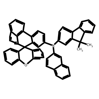 CC1(C)c2ccccc2-c2ccc(N(c3ccc4c(c3)C3(c5ccccc5Oc5ccccc53)c3cccc5cccc-4c35)c3ccc4ccccc4c3)cc21